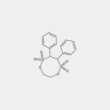 O=S1(=O)OCCOS(=O)(=O)C(c2ccccc2)C1c1ccccc1